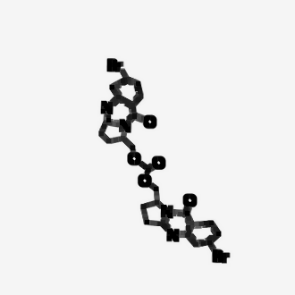 O=C(OCC1CCc2nc3cc(Br)ccc3c(=O)n21)OCC1CCc2nc3cc(Br)ccc3c(=O)n21